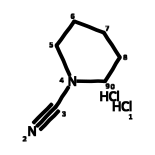 Cl.Cl.N#CN1CCCCC1